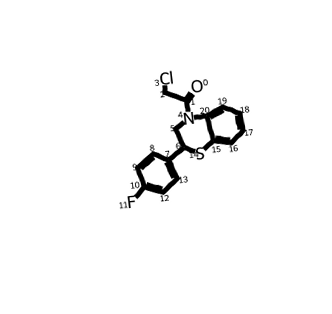 O=C(CCl)N1CC(c2ccc(F)cc2)Sc2ccccc21